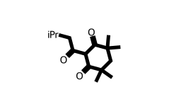 CC(C)CC(=O)C1C(=O)C(C)(C)CC(C)(C)C1=O